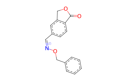 O=C1OCc2cc(/C=N\OCc3ccccc3)ccc21